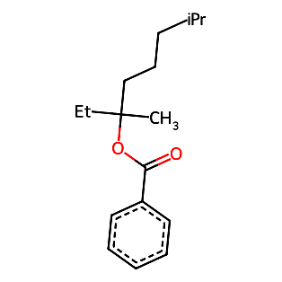 CCC(C)(CCCC(C)C)OC(=O)c1ccccc1